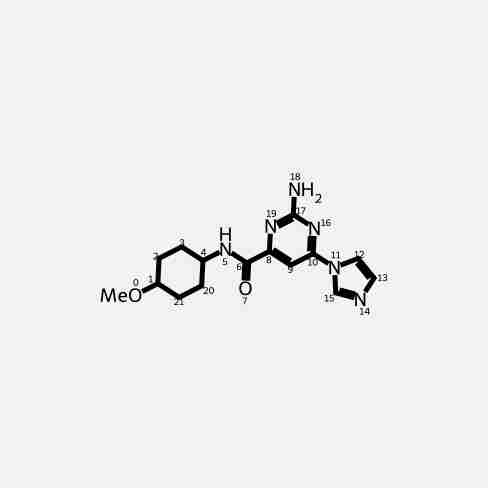 COC1CCC(NC(=O)c2cc(-n3ccnc3)nc(N)n2)CC1